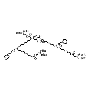 CCCCCC(CCCCC)CC(=O)OCCCCCCCCC(CCCCCCCCOC(=O)CC(CCCCC)CC(CCC)C(CCCCCCCCC(CCCCCCCCCC(=O)OCCC(CCCC)CCCC)COCCCN1CCOCC1)C(=O)OCCC(CCCC)CCCC)OC(=O)CN1CCCCC1